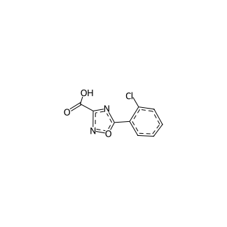 O=C(O)c1noc(-c2ccccc2Cl)n1